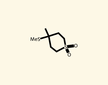 CSC1(C)CCS(=O)(=O)CC1